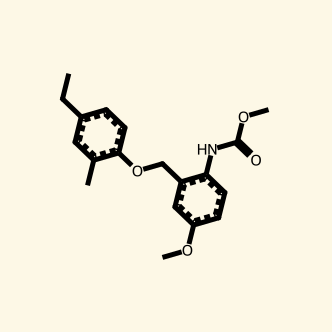 CCc1ccc(OCc2cc(OC)ccc2NC(=O)OC)c(C)c1